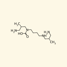 CC(CN)CNCCCCN(CC(C)CN)C(=O)O